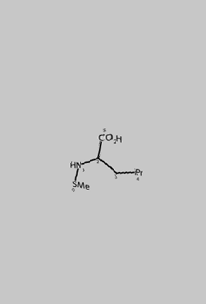 CSNC(CC(C)C)C(=O)O